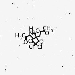 CC(=O)CCC(CCC(C)=O)(C(N)=O)C(=O)C(Cl)(Cl)Cl